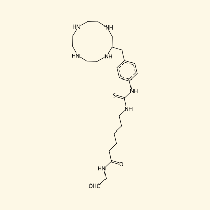 O=CCNC(=O)CCCCCNC(=S)Nc1ccc(CC2CNCCNCCNCCN2)cc1